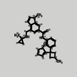 CC1CC(c2cccc(NC(=O)c3cc(CNC4(C)CC4)c4ccn(C)c4n3)c2)(c2nncn2C)C1